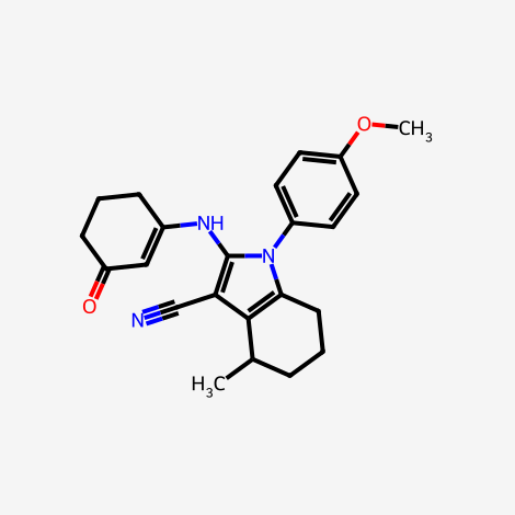 COc1ccc(-n2c3c(c(C#N)c2NC2=CC(=O)CCC2)C(C)CCC3)cc1